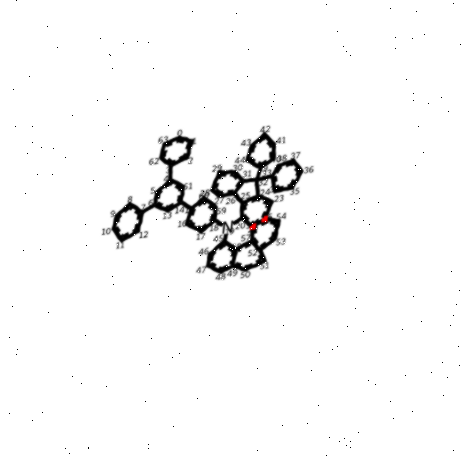 c1ccc(-c2cc(-c3ccccc3)cc(-c3ccc(N(c4cccc5c4-c4ccccc4C5(c4ccccc4)c4ccccc4)c4cccc5ccc6ccccc6c45)cc3)c2)cc1